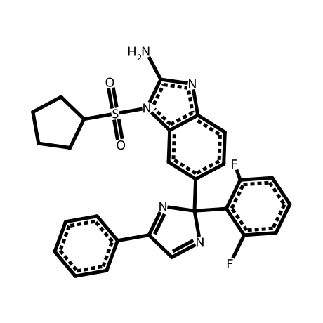 Nc1nc2ccc(C3(c4c(F)cccc4F)N=CC(c4ccccc4)=N3)cc2n1S(=O)(=O)C1CCCC1